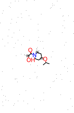 CC(C)O[C@H]1CCN(C(=O)[C@@H](C)O)[C@H](C)C1